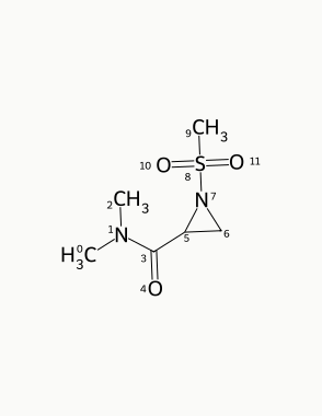 CN(C)C(=O)C1CN1S(C)(=O)=O